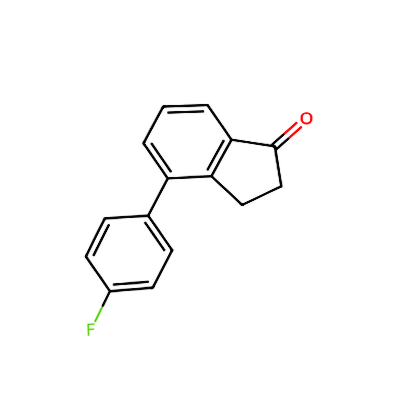 O=C1CCc2c1cccc2-c1ccc(F)cc1